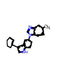 N#Cc1ccc2c(c1)ncn2-c1ccc2[nH]cc(C3=CCCCC3)c2c1